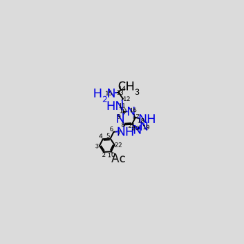 CC(=O)c1cccc(CNc2nc(NCC(C)N)nc3[nH]nnc23)c1